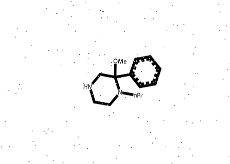 CCCN1CCNCC1(OC)c1ccccc1